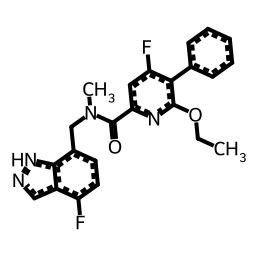 CCOc1nc(C(=O)N(C)Cc2ccc(F)c3cn[nH]c23)cc(F)c1-c1ccccc1